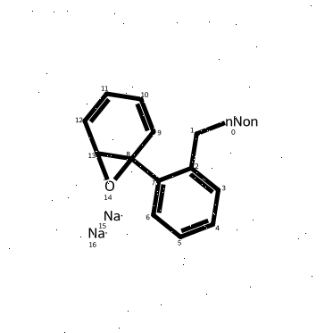 CCCCCCCCCCc1ccccc1C12C=CC=CC1O2.[Na].[Na]